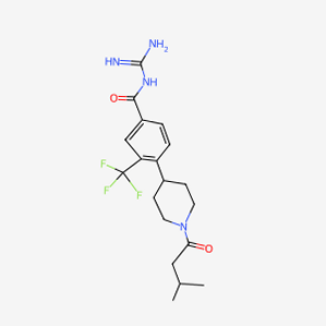 CC(C)CC(=O)N1CCC(c2ccc(C(=O)NC(=N)N)cc2C(F)(F)F)CC1